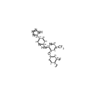 Fc1ccc(Oc2cc(C(F)(F)F)cnc2Nc2ccc(-c3nnn[nH]3)cn2)cc1F